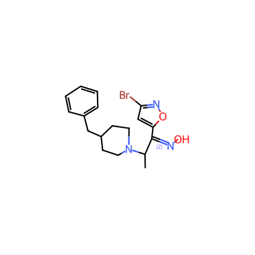 CC(/C(=N/O)c1cc(Br)no1)N1CCC(Cc2ccccc2)CC1